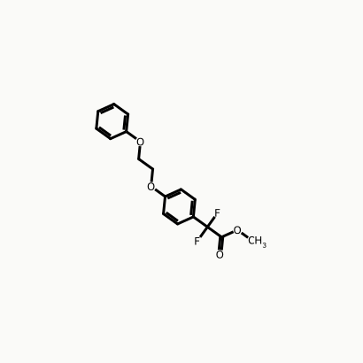 COC(=O)C(F)(F)c1ccc(OCCOc2ccccc2)cc1